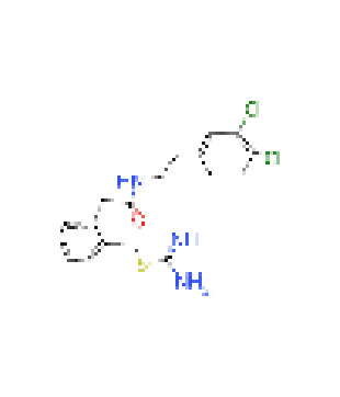 N=C(N)SCc1ccccc1CC(=O)NCCc1ccc(Cl)c(Cl)c1